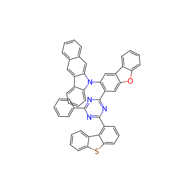 c1ccc(-c2nc(-c3cc4oc5ccccc5c4cc3-n3c4ccccc4c4cc5ccccc5cc43)nc(-c3cccc4sc5ccccc5c34)n2)cc1